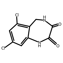 O=C1NCc2c(Cl)cc(Cl)cc2NC1=O